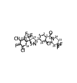 O=C(c1ccc(C2=NSC(c3cc(Cl)c(F)c(Cl)c3)(C(F)(F)F)C2)cc1Cl)N1CCC(F)(F)CC1